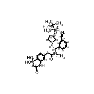 CN(C(=O)Cc1ccc2c(c1)NC(=O)CS2(O)O)[C@H](CN1CC[C@H](O[Si](C)(C)C(C)(C)C)C1)c1cccc(C#N)c1